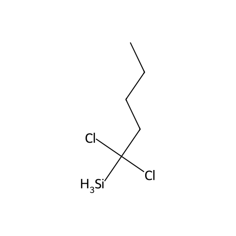 CCCCC([SiH3])(Cl)Cl